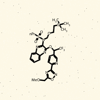 CCCS(=O)(=O)N(COCC[Si](C)(C)C)c1nc2ccccc2nc1OC(c1ccc(-c2noc(COC)n2)nc1)C(F)(F)F